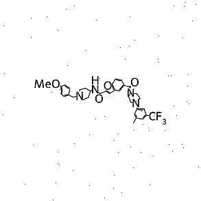 COc1ccc(CN2CCC(NC(=O)c3cc4cc(C(=O)N5CCN(c6cc(C)cc(C(F)(F)F)c6)CC5)ccc4o3)CC2)cc1